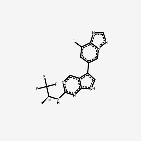 C[C@H](Nc1ncc2c(-c3cc(F)c4ncnn4c3)c[nH]c2n1)C(F)(F)F